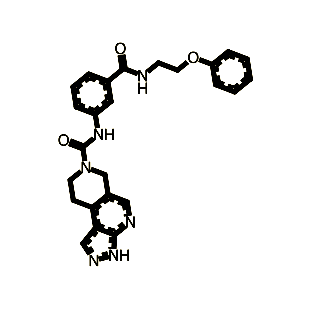 O=C(NCCOc1ccccc1)c1cccc(NC(=O)N2CCc3c(cnc4[nH]ncc34)C2)c1